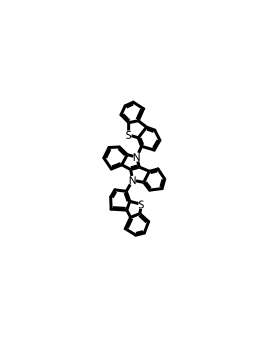 c1ccc2c(c1)sc1c(-n3c4ccccc4c4c3c3ccccc3n4-c3cccc4c3sc3ccccc34)cccc12